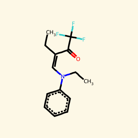 CC/C(=C/N(CC)c1ccccc1)C(=O)C(F)(F)F